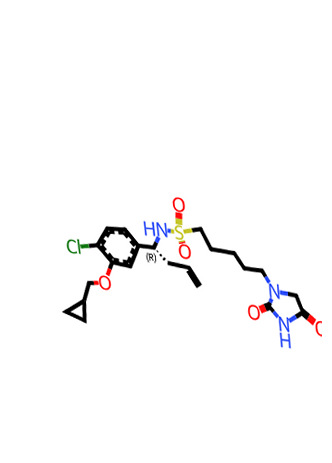 C=CC[C@@H](NS(=O)(=O)CCCCCN1CC(=O)NC1=O)c1ccc(Cl)c(OCC2CC2)c1